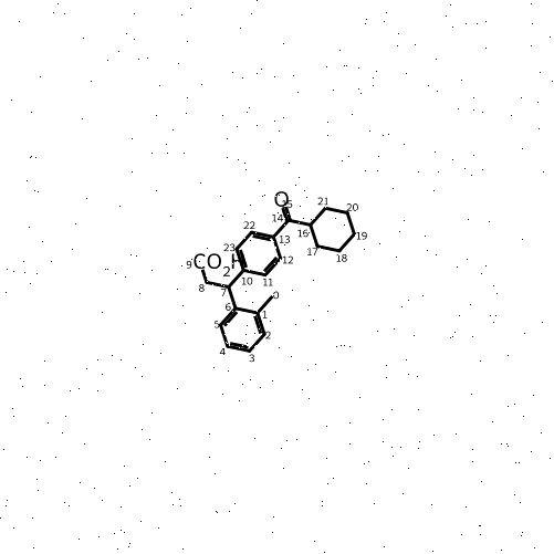 Cc1ccccc1C(CC(=O)O)c1ccc(C(=O)C2CCCCC2)cc1